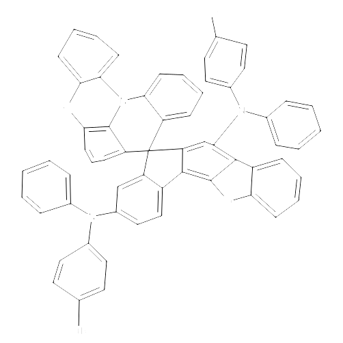 CC(C)(C)c1ccc(N(c2ccccc2)c2ccc3c(c2)C2(c4ccccc4N4c5ccccc5Oc5cccc2c54)c2cc(N(c4ccccc4)c4ccc(C(C)(C)C)cc4)c4c(oc5ccccc54)c2-3)cc1